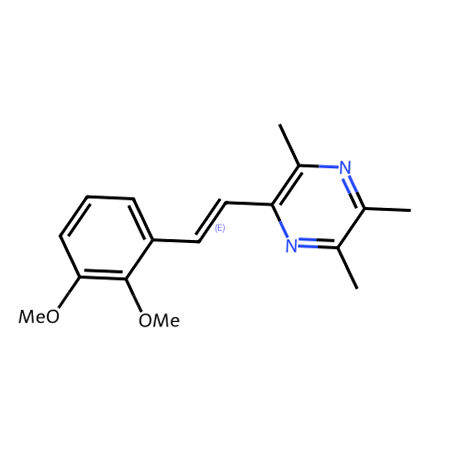 COc1cccc(/C=C/c2nc(C)c(C)nc2C)c1OC